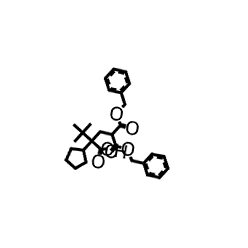 CC(C)(C)C(CC(C(=O)OCc1ccccc1)C(=O)OCc1ccccc1)(C(=O)O)C1CCCC1